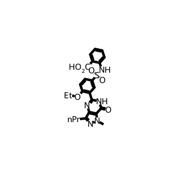 CCCc1nn(C)c2c(=O)[nH]c(-c3cc(S(=O)(=O)Nc4ccccc4C(=O)O)ccc3OCC)nc12